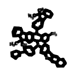 Cc1cc2c3c(c1)N(c1ccc4c(c1)-c1ccccc1C4(C)C)c1cc4c(cc1B3N(c1ccc(-c3ccccc3)cc1)c1cc3oc5cc6ccccc6cc5c3cc1-2)C(C)(C)c1ccccc1-4